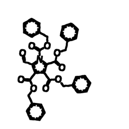 O=Cc1c(C(=O)OCc2ccccc2)c(C(=O)OCc2ccccc2)c(C(=O)OCc2ccccc2)n1C(=O)OCc1ccccc1